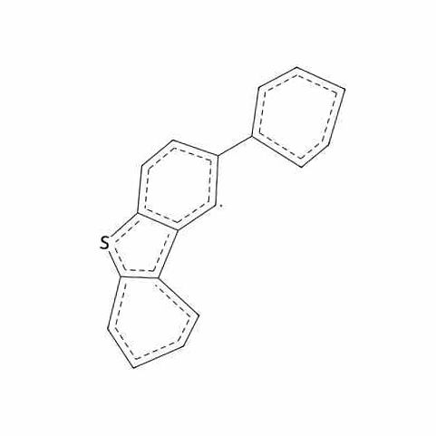 [c]1c(-c2ccccc2)ccc2sc3ccccc3c12